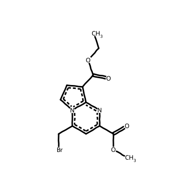 CCOC(=O)c1ccn2c(CBr)cc(C(=O)OC)nc12